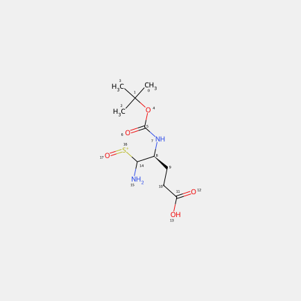 CC(C)(C)OC(=O)N[C@@H](CCC(=O)O)C(N)[S+]=O